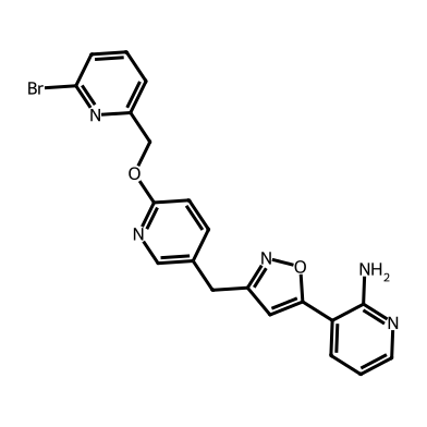 Nc1ncccc1-c1cc(Cc2ccc(OCc3cccc(Br)n3)nc2)no1